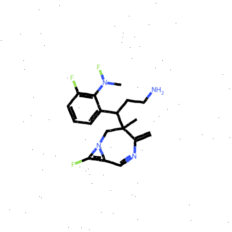 C=C1N=CC2=C(F)N2CC1(C)C(CCN)c1cccc(F)c1N(C)F